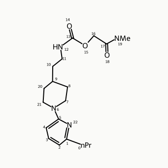 CCCc1cccc(N2CCC(CCNC(=O)OCC(=O)NC)CC2)n1